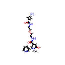 CN1C(=O)C[C@H](C(=O)NCCOCCNC(=O)[C@H]2C[C@@H](N)C2)[C@H]1c1cccnc1